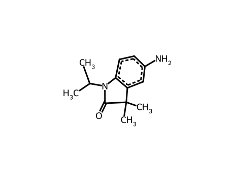 CC(C)N1C(=O)C(C)(C)c2cc(N)ccc21